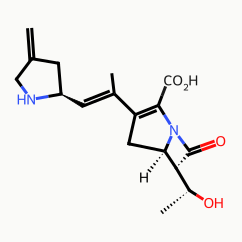 C=C1CN[C@H](C=C(C)C2=C(C(=O)O)N3C(=O)[C@H]([C@@H](C)O)[C@H]3C2)C1